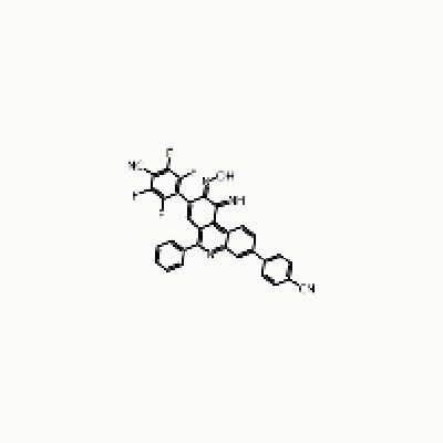 N#Cc1ccc(-c2ccc3c4c(c(-c5ccccc5)nc3c2)C=C(c2c(F)c(F)c(C#N)c(F)c2F)/C(=N/O)C4=N)cc1